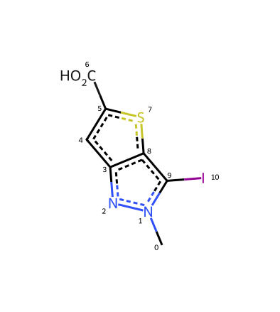 Cn1nc2cc(C(=O)O)sc2c1I